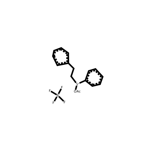 CC(=O)O[S+](CCc1ccccc1)c1ccccc1.F[B-](F)(F)F